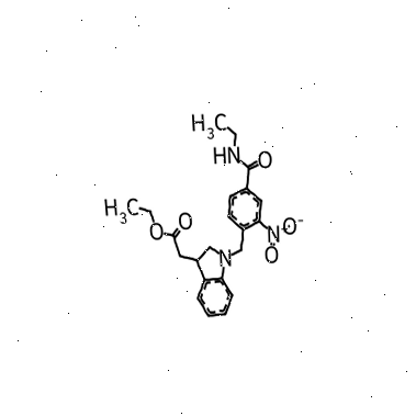 CCNC(=O)c1ccc(CN2CC(CC(=O)OCC)c3ccccc32)c([N+](=O)[O-])c1